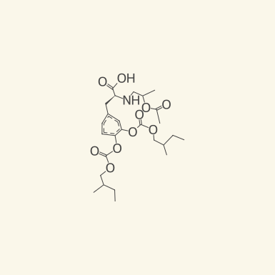 CCC(C)COC(=O)Oc1ccc(C[C@H](NCC(C)OC(C)=O)C(=O)O)cc1OC(=O)OCC(C)CC